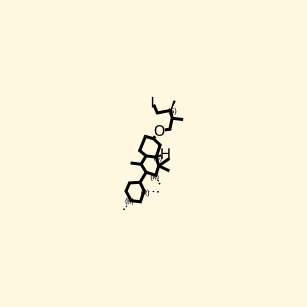 CC1C(C2CC[C@@H](C)C[C@H]2C)[C@@H](C)C(C)(C)[C@H]2CC(OCC(C)[C@H](C)CI)CCC12